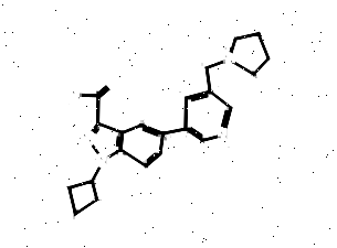 NC(=O)c1nn(C2CCC2)c2ccc(-c3cncc(CN4CCCC4)c3)cc12